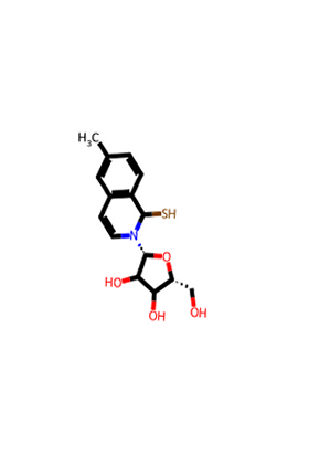 Cc1ccc2c(c1)C=CN([C@@H]1O[C@H](CO)C(O)C1O)C2S